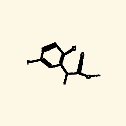 COC(=O)C(C)c1cc(F)ccc1Cl